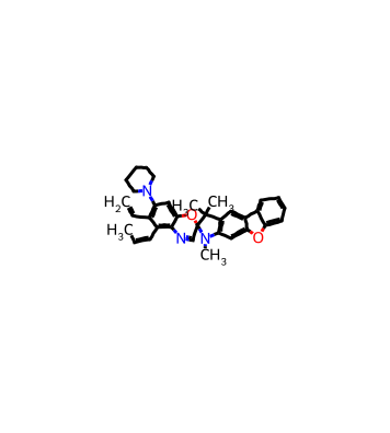 C=Cc1c(N2CCCCC2)cc2c(c1/C=C\C)N=CC1(O2)N(C)c2cc3oc4ccccc4c3cc2C1(C)C